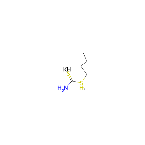 CCCC[SH](C)C(N)=S.[KH]